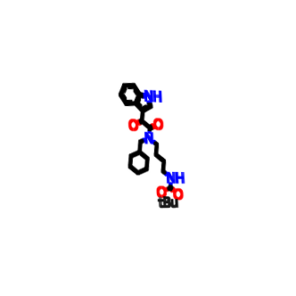 CC(C)(C)OC(=O)NCCCCN(CC1CCCCC1)C(=O)C(=O)c1c[nH]c2ccccc12